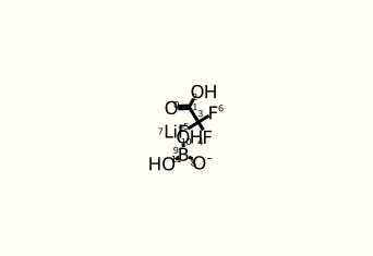 O=C(O)C(F)(F)F.[Li+].[O-]B(O)O